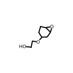 OCCOC1CCC2OC2C1